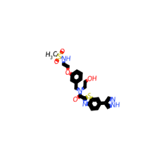 CS(=O)(=O)NCCOc1cccc(CN(CCO)C(=O)c2nc3ccc(-c4cn[nH]c4)cc3s2)c1